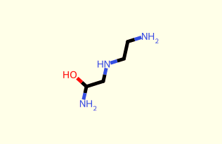 NCCNCC(N)O